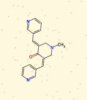 CN1CC(=Cc2cccnc2)C(=O)C(=Cc2cccnc2)C1